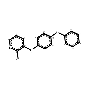 Cc1ncccc1Oc1ccc(Oc2ccccc2)cc1